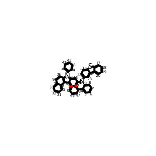 c1ccc(-c2ccccc2N(c2ccc3sc4ccccc4c3c2)c2ccc3c4c5ccccc5ccc4n(-c4ccccc4)c3c2)cc1